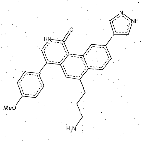 COc1ccc(-c2c[nH]c(=O)c3c2cc(CCCN)c2ccc(-c4cn[nH]c4)cc23)cc1